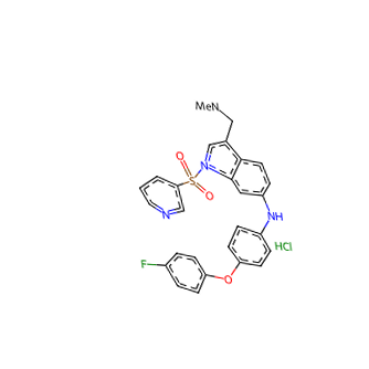 CNCc1cn(S(=O)(=O)c2cccnc2)c2cc(Nc3ccc(Oc4ccc(F)cc4)cc3)ccc12.Cl